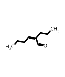 CCCC=C(C=O)CCC